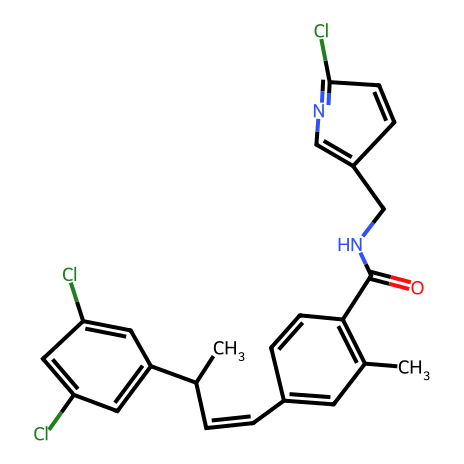 Cc1cc(/C=C\C(C)c2cc(Cl)cc(Cl)c2)ccc1C(=O)NCc1ccc(Cl)nc1